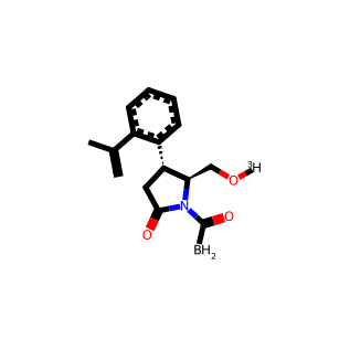 [3H]OC[C@@H]1[C@@H](c2ccccc2C(=C)C)CC(=O)N1C(B)=O